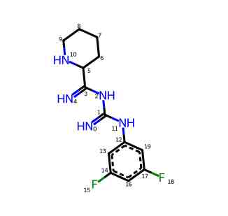 N=C(NC(=N)C1CCCCN1)Nc1cc(F)cc(F)c1